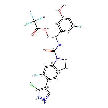 COc1cc(F)cc([C@@H](COC(=O)C(F)(F)F)NC(=O)N2CCc3cc(-c4c[nH]nc4Cl)c(F)cc32)c1